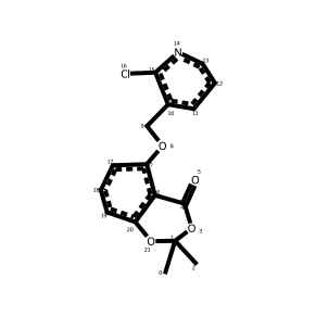 CC1(C)OC(=O)c2c(OCc3cccnc3Cl)cccc2O1